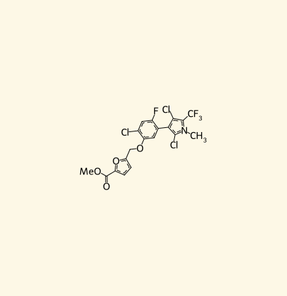 COC(=O)c1ccc(COc2cc(-c3c(Cl)c(C(F)(F)F)n(C)c3Cl)c(F)cc2Cl)o1